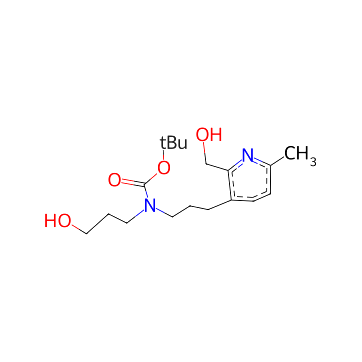 Cc1ccc(CCCN(CCCO)C(=O)OC(C)(C)C)c(CO)n1